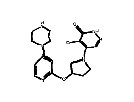 O=c1[nH]ncc(N2CCC(Oc3cc(N4CCNCC4)ccn3)C2)c1Cl